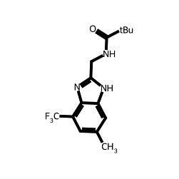 Cc1cc(C(F)(F)F)c2nc(CNC(=O)C(C)(C)C)[nH]c2c1